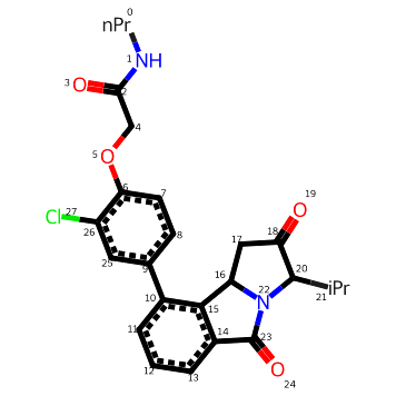 CCCNC(=O)COc1ccc(-c2cccc3c2C2CC(=O)C(C(C)C)N2C3=O)cc1Cl